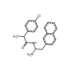 CC(C(=O)NC(N)Cc1ccc2ccccc2c1)c1ccc(Cl)cc1